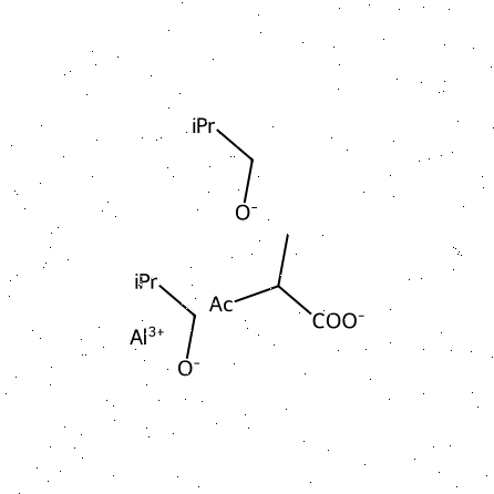 CC(=O)C(C)C(=O)[O-].CC(C)C[O-].CC(C)C[O-].[Al+3]